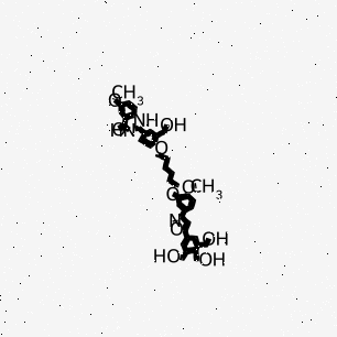 COc1ccc2c(c1)C(=O)NC(c1ccc(OCCCCCCOc3cc(-c4cc(-c5cc(CO)c(CO)c(CO)c5)on4)ccc3OC)c(CO)c1)N2